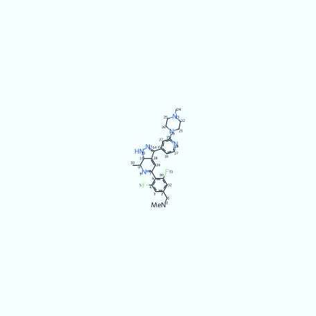 CNCc1cc(F)c(C2=NC(C)C3NN=C(c4ccnc(N5CCN(C)CC5)c4)C3=C2)c(F)c1